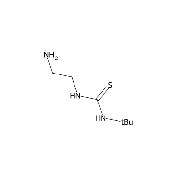 CC(C)(C)NC(=S)NCCN